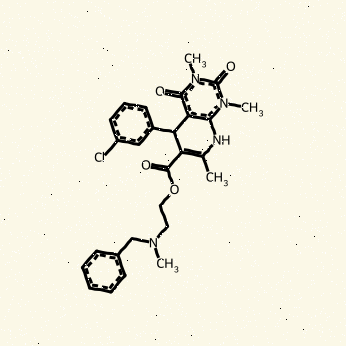 CC1=C(C(=O)OCCN(C)Cc2ccccc2)C(c2cccc(Cl)c2)c2c(n(C)c(=O)n(C)c2=O)N1